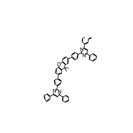 C=C/C=C(\C=C/C)c1cc(-c2ccccc2)nc(-c2ccc(-c3ccc4c(c3)C(C)(C)c3cc(-c5ccc(-c6nc(-c7ccccc7)cc(-c7ccccc7)n6)cc5)ccc3O4)cc2)n1